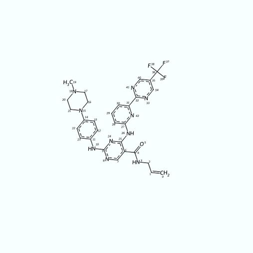 C=CCNC(=O)c1cnc(Nc2ccc(N3CCN(C)CC3)cc2)nc1Nc1cccc(-c2ncc(C(F)(F)F)cn2)n1